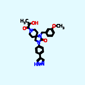 COc1cccc(CN2C(=O)N(c3ccc(-c4cn[nH]c4)cc3)CC23CCN(C(=O)[C@@H](C)O)CC3)c1